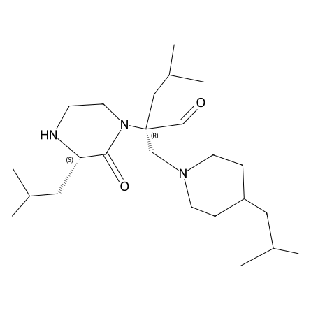 CC(C)CC1CCN(C[C@@](C=O)(CC(C)C)N2CCN[C@@H](CC(C)C)C2=O)CC1